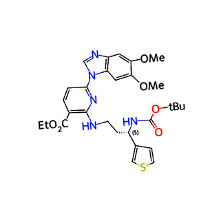 CCOC(=O)c1ccc(-n2cnc3cc(OC)c(OC)cc32)nc1NCC[C@H](NC(=O)OC(C)(C)C)c1ccsc1